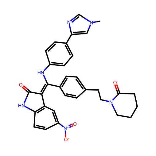 Cn1cnc(-c2ccc(N/C(=C3\C(=O)Nc4ccc([N+](=O)[O-])cc43)c3ccc(CCN4CCCCC4=O)cc3)cc2)c1